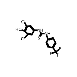 Oc1c(Cl)cc(NC(=S)Nc2ccc(C(F)(F)F)cc2)cc1Cl